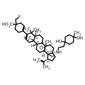 C=C(C)[C@@H]1CC[C@]2(NCCC3(O)CCC(C)(O)CC3)CC[C@]3(C)[C@H](CC[C@@H]4C5(C)CC=C(C6=CCC(CF)(C(=O)O)CC6)C(C)(C)[C@@H]5CC[C@]43C)[C@@H]12